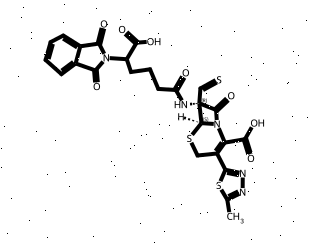 Cc1nnc(C2=C(C(=O)O)N3C(=O)[C@@](C=S)(NC(=O)CCCC(C(=O)O)N4C(=O)c5ccccc5C4=O)[C@@H]3SC2)s1